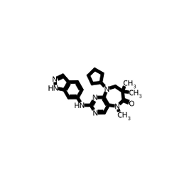 CN1C(=O)C(C)(C)CN(C2CCCC2)c2nc(Nc3ccc4cn[nH]c4c3)ncc21